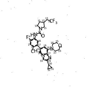 Cc1cc(F)c(NC(=O)N2CCC(CC(F)(F)F)C2)cc1-c1cc(N2CCOCC2)c2nc(C3CC3)cn2c1